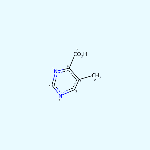 Cc1cncnc1C(=O)O